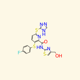 O=C(Nc1nc(CO)cs1)c1nc(Sc2nnc[nH]2)ccc1Sc1ccc(F)cc1